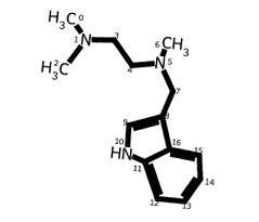 CN(C)CCN(C)Cc1c[nH]c2ccccc12